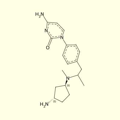 CC(Cc1ccc(-n2ccc(N)nc2=O)cc1)N(C)[C@H]1CC[C@H](N)C1